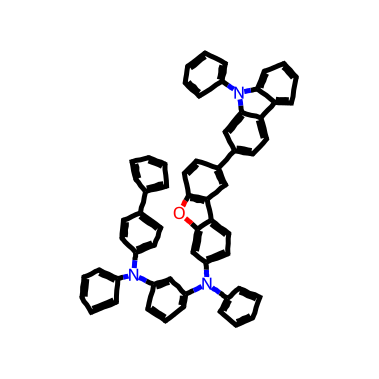 c1ccc(-c2ccc(N(c3ccccc3)c3cccc(N(c4ccccc4)c4ccc5c(c4)oc4ccc(-c6ccc7c8ccccc8n(-c8ccccc8)c7c6)cc45)c3)cc2)cc1